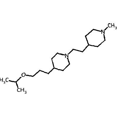 CC(C)OCCCC1CCN(CCC2CCN(C)CC2)CC1